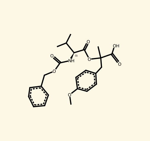 COc1ccc(CC(C)(OC(=O)[C@@H](NC(=O)OCc2ccccc2)C(C)C)C(=O)O)cc1